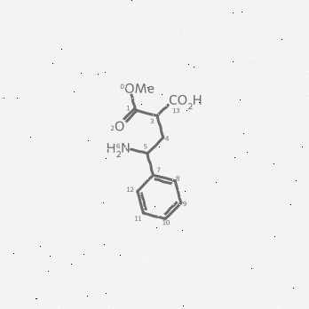 COC(=O)C(CC(N)c1ccccc1)C(=O)O